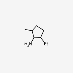 CCC1CCC(C)C1N